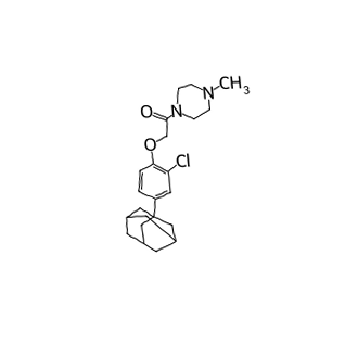 CN1CCN(C(=O)COc2ccc(C34CC5CC(CC(C5)C3)C4)cc2Cl)CC1